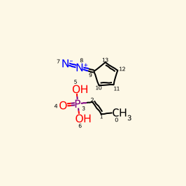 CC=CP(=O)(O)O.[N-]=[N+]=C1C=CC=C1